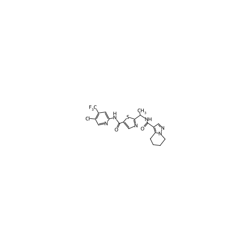 CC(NC(=O)c1cnn2c1CCCC2)c1ncc(C(=O)Nc2cc(C(F)(F)F)c(Cl)cn2)s1